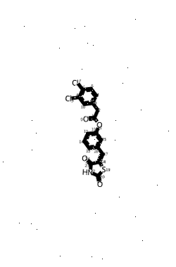 O=C(Cc1ccc(Cl)c(Cl)c1)Oc1cccc(C=C2SC(=O)NC2=O)c1